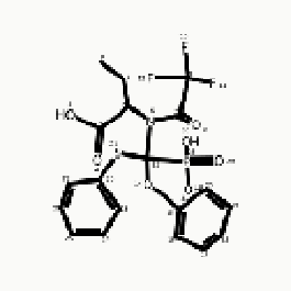 CCC(C(=O)O)N(C(=O)C(F)(F)F)C(Oc1ccccc1)(Sc1ccccc1)P(=O)(O)O